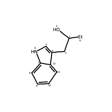 CCC(O)Cc1c[nH]c2ccccc12